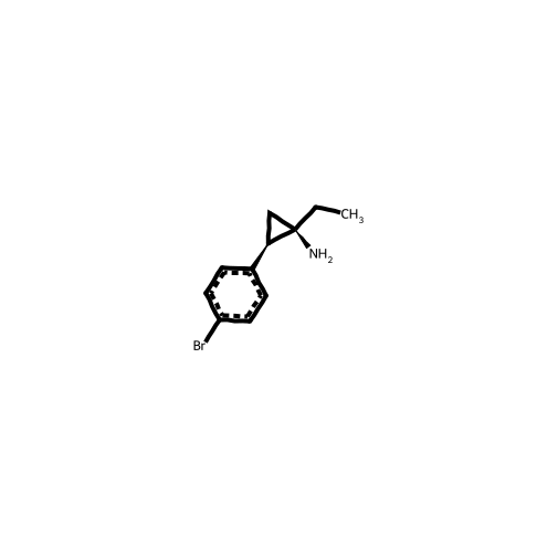 CC[C@@]1(N)C[C@@H]1c1ccc(Br)cc1